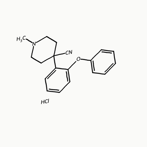 CN1CCC(C#N)(c2ccccc2Oc2ccccc2)CC1.Cl